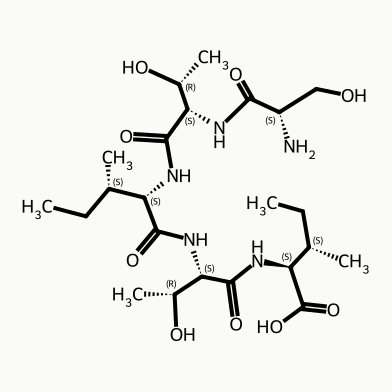 CC[C@H](C)[C@H](NC(=O)[C@@H](NC(=O)[C@@H](NC(=O)[C@@H](NC(=O)[C@@H](N)CO)[C@@H](C)O)[C@@H](C)CC)[C@@H](C)O)C(=O)O